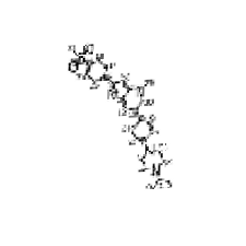 CC(C)N1CCN(c2ccc(-c3cc4nc(-c5ccc(S(C)(=O)=O)cc5)cc-4n(C)c3)cc2)CC1